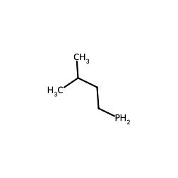 CC(C)CCP